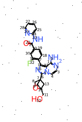 Nc1nccn2c(C34COC(CO)(C3)C4)nc(-c3ccc(C(=O)Nc4ccccn4)cc3F)c12